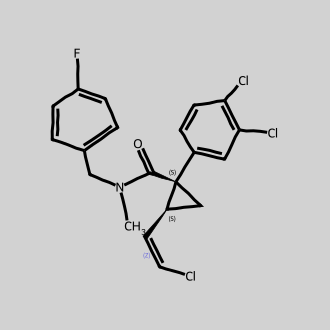 CN(Cc1ccc(F)cc1)C(=O)[C@@]1(c2ccc(Cl)c(Cl)c2)C[C@H]1/C=C\Cl